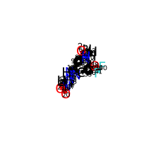 [2H]C([2H])([2H])n1c(=O)c2ccc(-c3cnc(N4CCN5C(=O)OC[C@H]5C4)nc3)cc2n1Cc1cc(C)ccc1OC(F)F